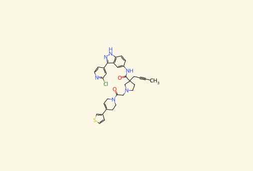 CC#CCC1(C(=O)Nc2ccc3[nH]nc(-c4ccnc(Cl)c4)c3c2)CCN(CC(=O)N2CC=C(c3ccsc3)CC2)C1